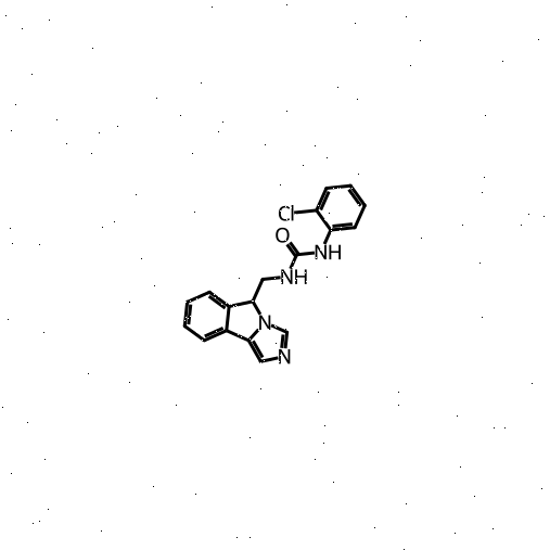 O=C(NCC1c2ccccc2-c2cncn21)Nc1ccccc1Cl